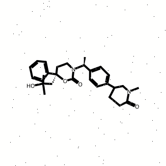 C[C@@H](c1ccc(C2CCC(=O)N(C)C2)cc1)N1CC[C@](CC(C)(C)O)(c2ccccc2)OC1=O